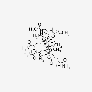 CCO[SiH](CCCNC(C)=O)O[Si](CNC(N)=O)(OCC)O[Si](C)(CCCNC(N)=O)O[Si](CCCNC(N)=O)(OCC)O[Si](CCCNC(N)=O)(OCC)OCC